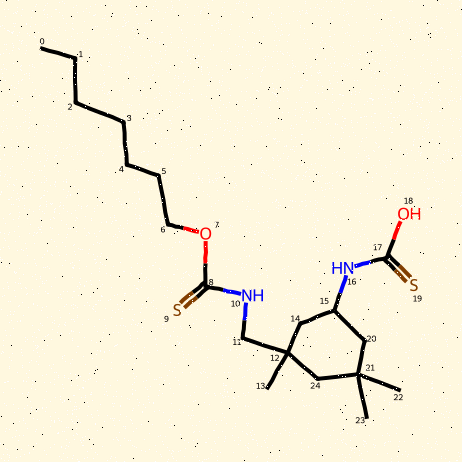 CCCCCCCOC(=S)NCC1(C)CC(NC(O)=S)CC(C)(C)C1